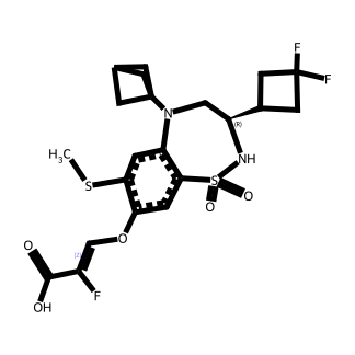 CSc1cc2c(cc1O/C=C(\F)C(=O)O)S(=O)(=O)N[C@H](C1CC(F)(F)C1)CN2C12CC(C1)C2